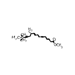 COC(=O)CCCCC#C/C=C/C=C/[C@H](C)CC#C[Si](C)(C)C